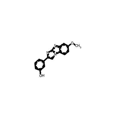 COc1ccc2c(c1)sc1nc(-c3cccc(O)c3)cn12